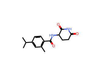 Cc1cc(C(C)C)ccc1C(=O)NC1CCC(=O)NC1=O